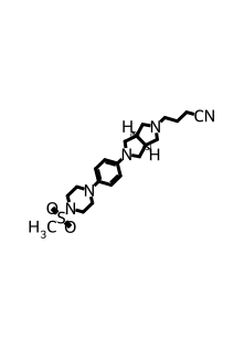 CS(=O)(=O)N1CCN(c2ccc(N3C[C@H]4CN(CCCC#N)C[C@H]4C3)cc2)CC1